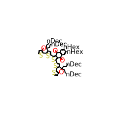 CCCCCCCCCCCCC1(CCCCCCCCCCCC)Oc2ccsc2-c2sc(-c3sc(-c4cc5c(s4)-c4sccc4OC5(CCCCCCCCCCCC)CCCCCCCCCCCC)c4c3C(=O)c3cc(CCCCCC)c(CCCCCC)cc3C4=O)cc21